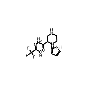 NC(=O)C1CNCCN1.O=C(O)C(F)(F)F.c1cc[nH]c1